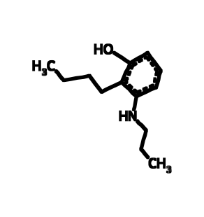 CCCCc1c(O)cccc1NCCC